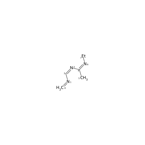 C=N/C=N\C(C)=N/CC